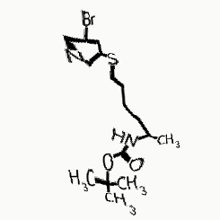 C[C@H](CCCCSc1cncc(Br)c1)NC(=O)OC(C)(C)C